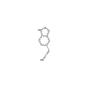 N=C=Cc1ccc2[nH]ccc2c1